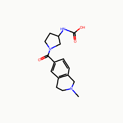 CN1CCc2cc(C(=O)N3CCC(NC(=O)O)C3)ccc2C1